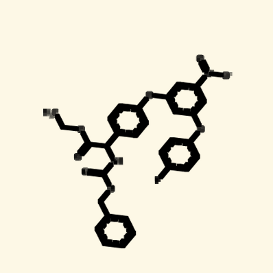 CCOC(=O)C(NC(=O)OCc1ccccc1)c1ccc(Oc2cc(Oc3ccc(F)cc3)cc([N+](=O)[O-])c2)cc1